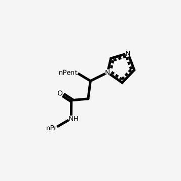 CCCCCC(CC(=O)NCCC)n1ccnc1